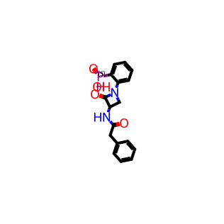 O=C(Cc1ccccc1)NC1CN(c2ccccc2[P@@H](=O)O)C1=O